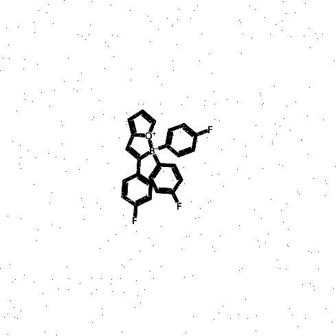 Fc1ccc(C2=Cc3ccc[o+]3[B-]2(c2ccc(F)cc2)c2ccc(F)cc2)cc1